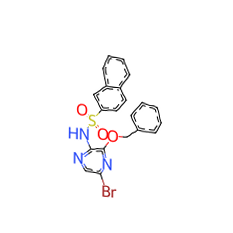 O=S(=O)(Nc1ncc(Br)nc1OCc1ccccc1)c1ccc2ccccc2c1